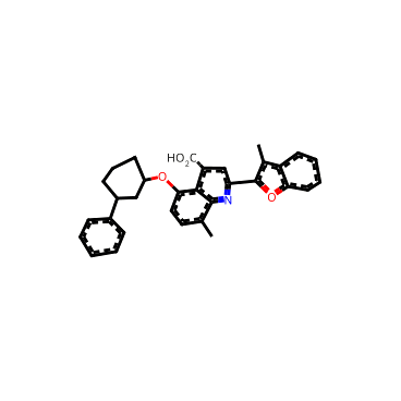 Cc1c(-c2cc(C(=O)O)c3c(OC4CCCC(c5ccccc5)C4)ccc(C)c3n2)oc2ccccc12